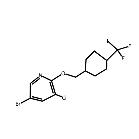 FC(F)(I)C1CCC(COc2ncc(Br)cc2Cl)CC1